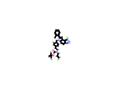 Cc1ccccc1-c1cc2c3c(F)n[nH]c3ccc2n1Cc1ccc(CCN(CCCF)C(=O)OC(C)(C)C)cc1F